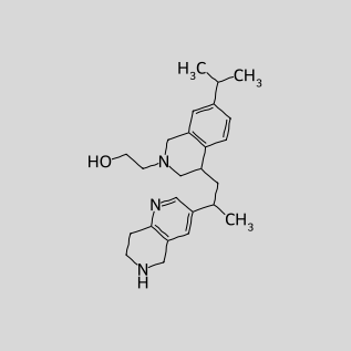 CC(C)c1ccc2c(c1)CN(CCO)CC2CC(C)c1cnc2c(c1)CNCC2